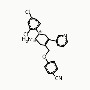 N#Cc1ccc(OCC2=C(c3cccnc3)C[C@H](c3ccc(Cl)cc3Cl)[C@@H](N)C2)cc1